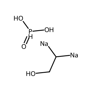 O=[PH](O)O.OC[CH]([Na])[Na]